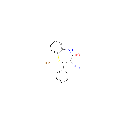 Br.NC1C(=O)Nc2ccccc2SC1c1ccccc1